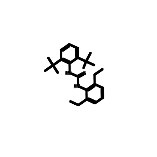 CCc1cccc(CC)c1NC(=S)Nc1c(C(C)(C)C)cccc1C(C)(C)C